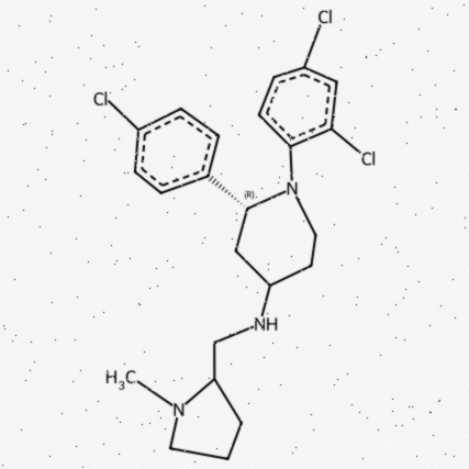 CN1CCCC1CNC1CCN(c2ccc(Cl)cc2Cl)[C@@H](c2ccc(Cl)cc2)C1